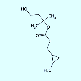 CC1CN1CCC(=O)OC(C)(C)CCO